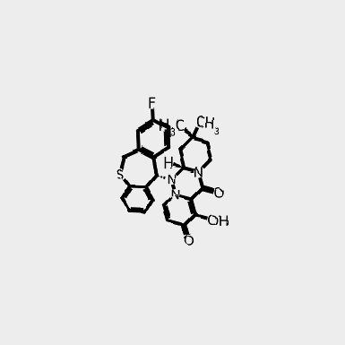 CC1(C)CCN2C(=O)c3c(O)c(=O)ccn3N([C@H]3c4ccc(F)cc4CSc4ccccc43)[C@@H]2C1